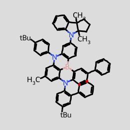 Cc1cc2c3c(c1)N(c1ccc(C(C)(C)C)cc1-c1ccccc1)c1ccc(-c4ccccc4)cc1B3c1ccc(N3c4ccccc4C4(C)CCCC34C)cc1N2c1ccc(C(C)(C)C)cc1